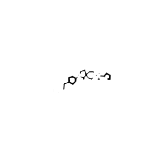 CCC(C)c1ccc(N2CCC3(CCN(S(=O)(=O)c4cccs4)CC3)C2=O)cc1